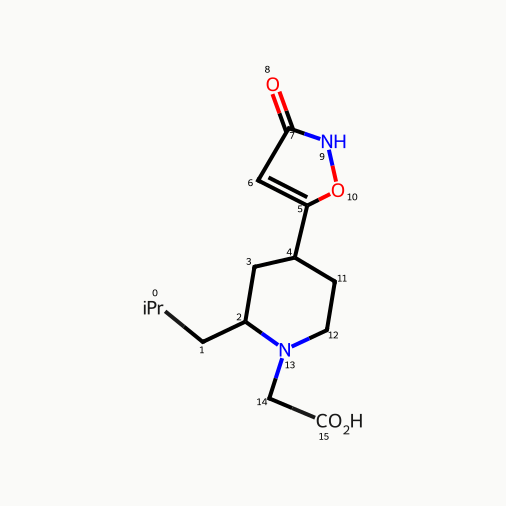 CC(C)CC1CC(c2cc(=O)[nH]o2)CCN1CC(=O)O